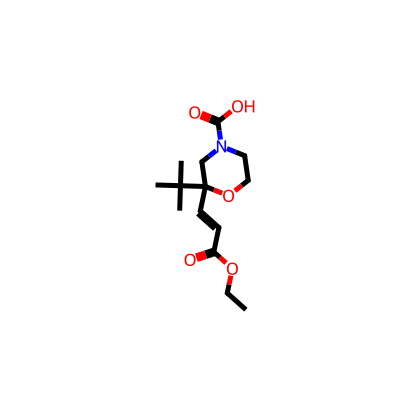 CCOC(=O)C=CC1(C(C)(C)C)CN(C(=O)O)CCO1